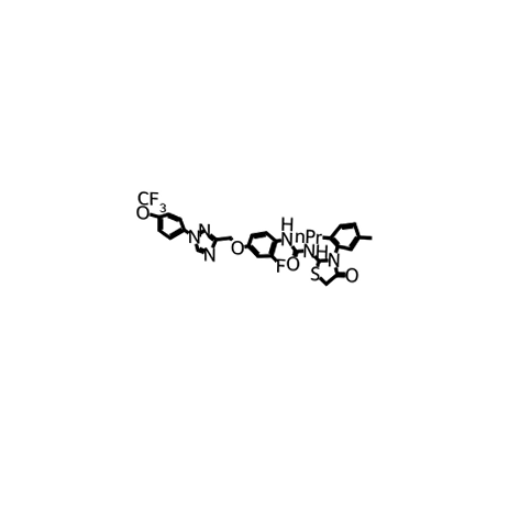 CCCc1ccc(C)cc1N1C(=O)CSC1NC(=O)Nc1ccc(OCc2ncn(-c3ccc(OC(F)(F)F)cc3)n2)cc1F